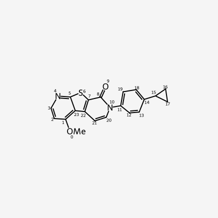 COc1ccnc2sc3c(=O)n(-c4ccc(C5CC5)cc4)ccc3c12